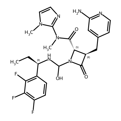 CC[C@@H](NC(O)N1C(=O)[C@H](Cc2ccnc(N)c2)[C@H]1C(=O)N(C)c1nccn1C)c1ccc(F)c(F)c1F